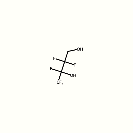 OCC(F)(F)C(O)(F)C(F)(F)F